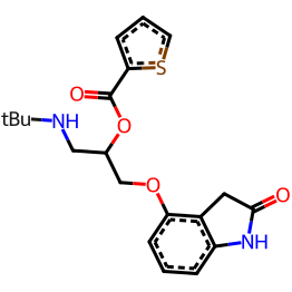 CC(C)(C)NCC(COc1cccc2c1CC(=O)N2)OC(=O)c1cccs1